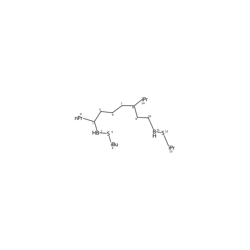 CCCC(BSC(C)CC)CCCC(CCBSC(C)C)C(C)C